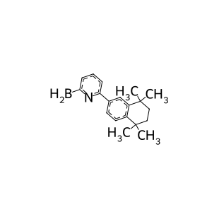 Bc1cccc(-c2ccc3c(c2)C(C)(C)CCC3(C)C)n1